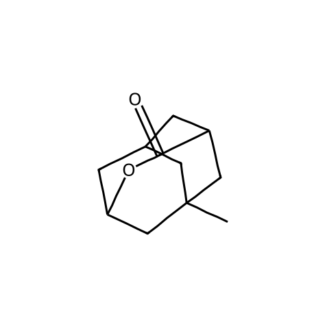 CC12CC3CC(C1)OC(=O)C(C3)C2